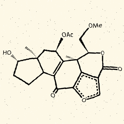 COC[C@H]1OC(=O)c2coc3c2[C@@]1(C)C1=C(C3=O)C2CC[C@H](O)[C@@]2(C)C[C@H]1OC(C)=O